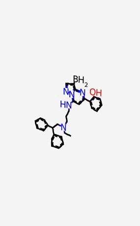 Bc1cnn2c(NCCCN(CC)CC(c3ccccc3)c3ccccc3)cc(-c3ccccc3O)nc12